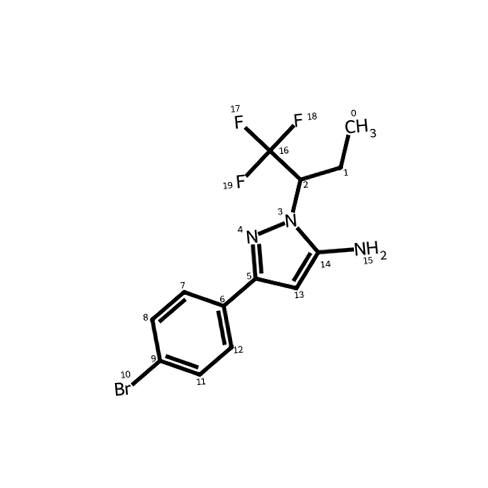 CCC(n1nc(-c2ccc(Br)cc2)cc1N)C(F)(F)F